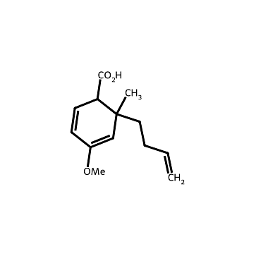 C=CCCC1(C)C=C(OC)C=CC1C(=O)O